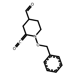 O=C=C1CC(C=O)CCN1OCc1ccccc1